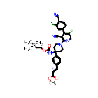 COC(=O)/C=C/c1ccc(C2(NC(=O)OCC[Si](C)(C)C)CCN(c3ncc(Br)c(-c4ccc(C#N)c(F)c4)c3C#N)CC2)cc1